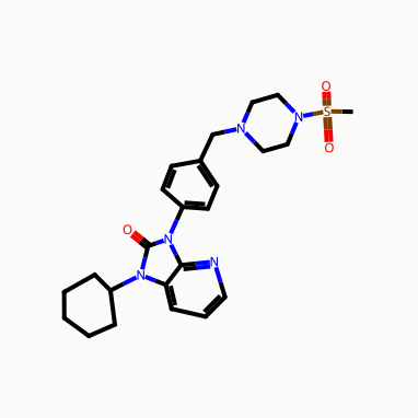 CS(=O)(=O)N1CCN(Cc2ccc(-n3c(=O)n(C4CCCCC4)c4cccnc43)cc2)CC1